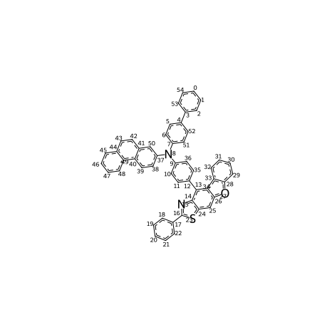 c1ccc(-c2ccc(N(c3ccc(-c4c5nc(-c6ccccc6)sc5cc5oc6ccccc6c45)cc3)c3ccc4c(ccc5ccccc54)c3)cc2)cc1